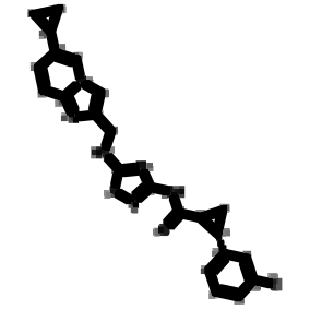 O=C(Nc1nsc(NCc2cn3cc(C4CC4)ccc3n2)n1)C1C[C@@H]1c1cccc(Cl)c1